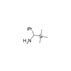 CC(C)C(N)[Si](C)(C)C